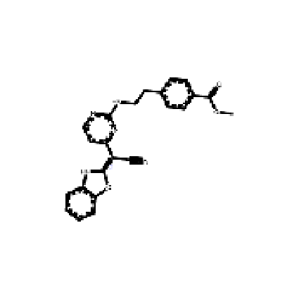 COC(=O)c1ccc(CCNc2nccc(/C(C#N)=C3\Nc4ccccc4O3)n2)cc1